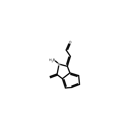 Bn1c(=C)c2ccccc2/c1=C/C=O